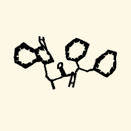 CC(Cc1c[nH]c2ccccc12)C(=O)NC(Cc1ccccc1)c1ccccc1